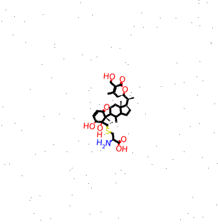 CC1=C(CO)C(=O)O[C@@H]([C@@H](C)[C@H]2CCC3C(C)C([C@@]4(C)C(=O)C=C[C@H](O)[C@@]4(O)[C@H](C)SC[C@H](N)C(=O)O)CC[C@@]32C)C1